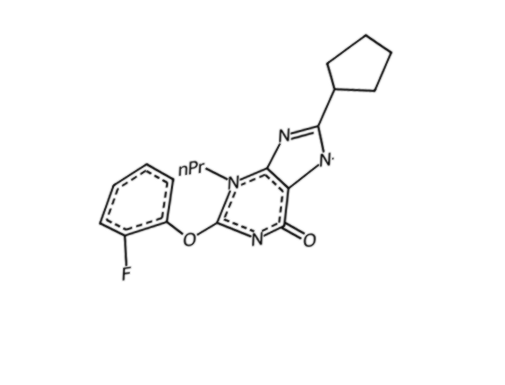 CCCn1c(Oc2ccccc2F)nc(=O)c2c1N=C(C1CCCC1)[N]2